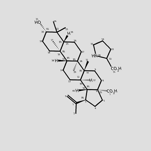 C=C(C)[C@@H]1CC[C@]2(C(=O)O)CC[C@]3(C)[C@H](CC[C@@H]4[C@@]5(C)CC[C@H](O)C(C)(C)[C@@H]5CC[C@]43C)[C@@H]12.O=C(O)C1CCCN1